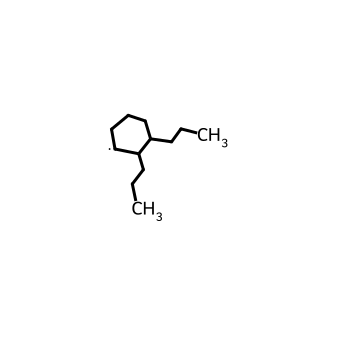 CCCC1[CH]CCCC1CCC